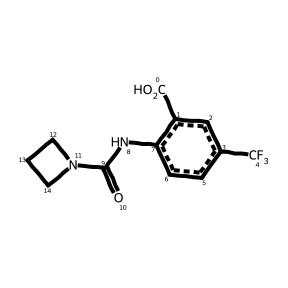 O=C(O)c1cc(C(F)(F)F)ccc1NC(=O)N1CCC1